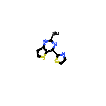 CCC(C)c1nc(-c2nccs2)c2sccc2n1